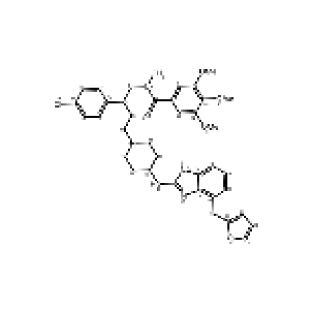 COc1cc(C(=O)N(C)CC(CCN2CCC(Nc3nc4c(Cc5ccco5)cccc4[nH]3)CC2)c2ccc(Cl)cc2)cc(OC)c1OC